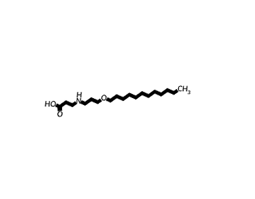 CCCCCCCCCCCCOCCCNCCC(=O)O